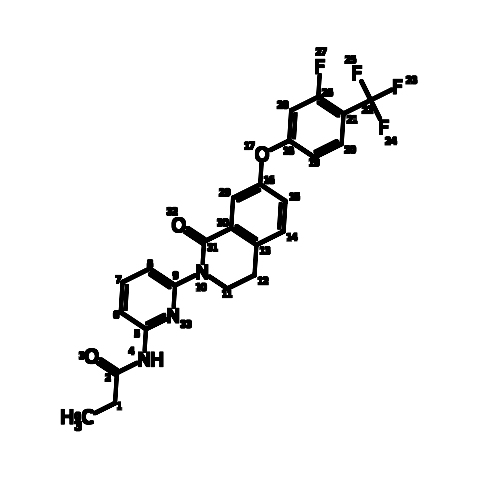 CCC(=O)Nc1cccc(N2CCc3ccc(Oc4ccc(C(F)(F)F)c(F)c4)cc3C2=O)n1